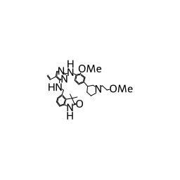 C=Cc1cnc(Nc2ccc(C3CCCN(CCOC)C3)cc2OC)nc1NCc1cccc2c1C(C)(C)C(=O)N2